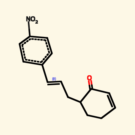 O=C1C=CCCC1C/C=C/c1ccc([N+](=O)[O-])cc1